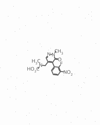 CN(Cc1cnn(C)c(=O)c1-c1cccc([N+](=O)[O-])c1F)C(=O)O